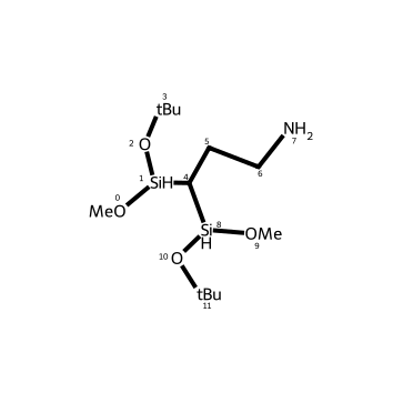 CO[SiH](OC(C)(C)C)C(CCN)[SiH](OC)OC(C)(C)C